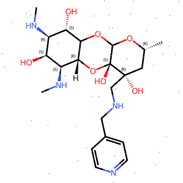 CN[C@@H]1[C@H](O)[C@H](NC)[C@H]2O[C@]3(O)C(OC2[C@H]1O)O[C@H](C)C[C@@]3(O)CNCc1ccncc1